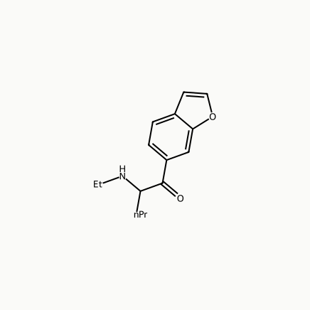 CCCC(NCC)C(=O)c1ccc2ccoc2c1